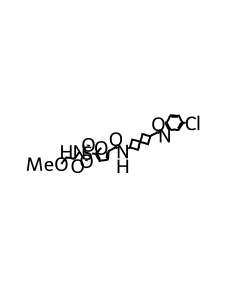 COCC(=O)NS(=O)(=O)c1ccc(C(=O)NC2CC3(C2)CC(c2nc4cc(Cl)ccc4o2)C3)o1